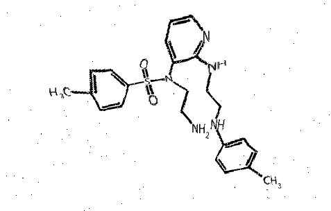 Cc1ccc(NCCNc2ncccc2N(CCN)S(=O)(=O)c2ccc(C)cc2)cc1